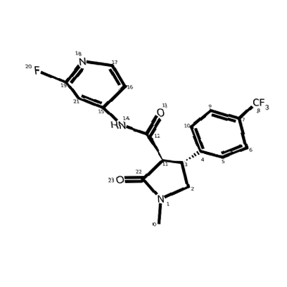 CN1C[C@@H](c2ccc(C(F)(F)F)cc2)[C@H](C(=O)Nc2ccnc(F)c2)C1=O